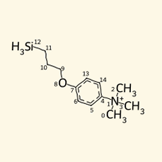 C[N+](C)(C)c1ccc(OCCC[SiH3])cc1